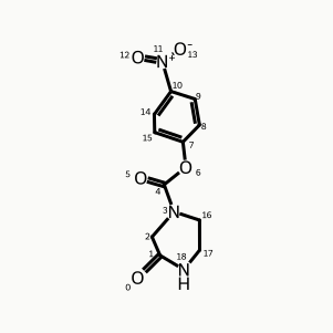 O=C1CN(C(=O)Oc2ccc([N+](=O)[O-])cc2)CCN1